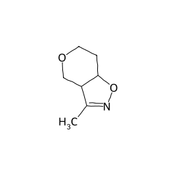 CC1=NOC2CCOCC12